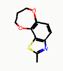 Cc1nc2ccc3c(c2s1)OCCCO3